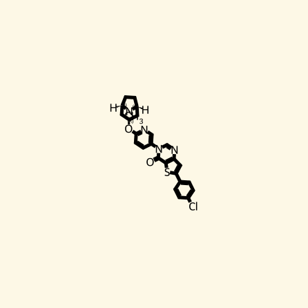 CN1[C@@H]2CC[C@H]1C[C@@H](Oc1ccc(-n3cnc4cc(-c5ccc(Cl)cc5)sc4c3=O)cn1)C2